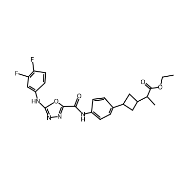 CCOC(=O)C(C)C1CC(c2ccc(NC(=O)c3nnc(Nc4ccc(F)c(F)c4)o3)cc2)C1